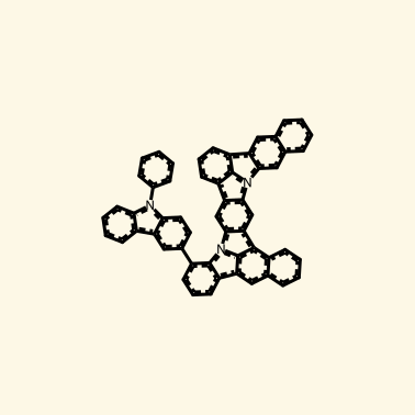 c1ccc(-n2c3ccccc3c3cc(-c4cccc5c6cc7ccccc7c7c8cc9c(cc8n(c45)c67)c4cccc5c6cc7ccccc7cc6n9c54)ccc32)cc1